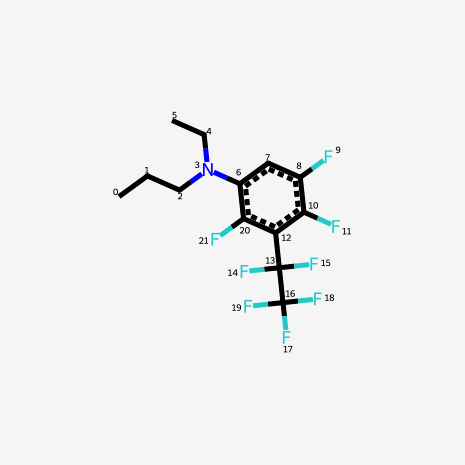 CCCN(CC)c1cc(F)c(F)c(C(F)(F)C(F)(F)F)c1F